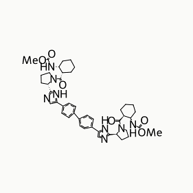 COC(=O)N[C@@H]1CCCC[C@@H]1C(=O)N1CCC[C@H]1c1ncc(-c2ccc(-c3ccc(-c4cnc([C@@H]5CCCN5C(=O)[C@H]5CCCC[C@H]5NC(=O)OC)[nH]4)cc3)cc2)[nH]1